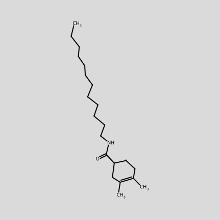 CCCCCCCCCCCCNC(=O)C1[CH]CC(C)=C(C)C1